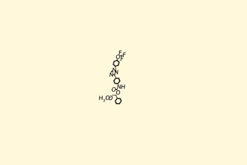 COCC(OC(=O)Nc1ccc(-c2ncn(-c3ccc(OC(F)(F)F)cc3)n2)cc1)c1ccccc1